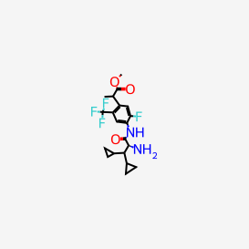 COC(=O)C(C)c1cc(F)c(NC(=O)[C@@H](N)C(C2CC2)C2CC2)cc1C(F)(F)F